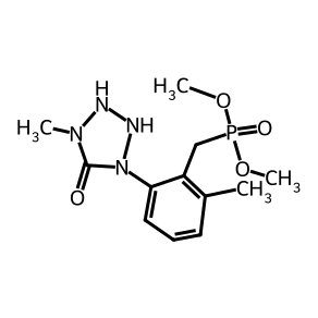 COP(=O)(Cc1c(C)cccc1N1NNN(C)C1=O)OC